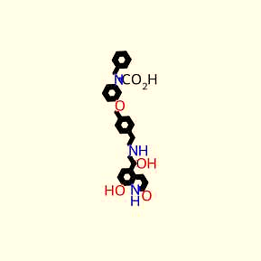 O=C(O)N(Cc1ccccc1)c1cccc(OCc2ccc(CCNC[C@H](O)c3ccc(O)c4[nH]c(=O)ccc34)cc2)c1